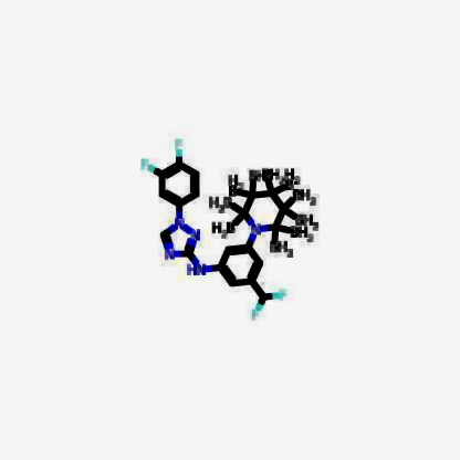 BC1(B)N(c2cc(Nc3ncn(-c4ccc(F)c(F)c4)n3)cc(C(F)F)c2)C(B)(B)C(B)(B)C(B)(B)C1(B)B